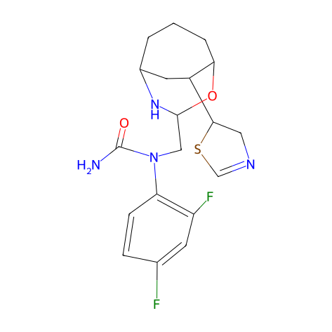 NC(=O)N(CC1NC2CCCC(O1)C(C1CN=CS1)C2)c1ccc(F)cc1F